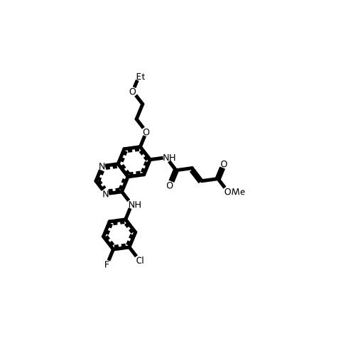 CCOCCOc1cc2ncnc(Nc3ccc(F)c(Cl)c3)c2cc1NC(=O)/C=C/C(=O)OC